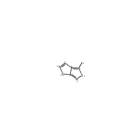 Cc1snc2oncc12